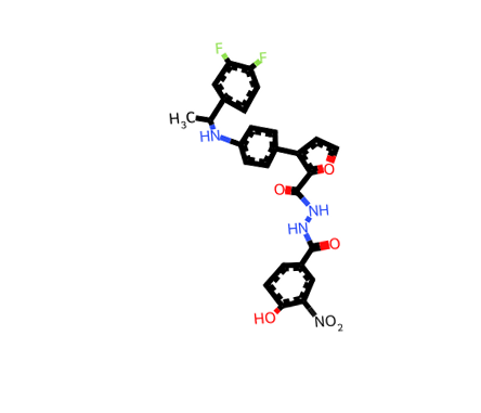 CC(Nc1ccc(-c2ccoc2C(=O)NNC(=O)c2ccc(O)c([N+](=O)[O-])c2)cc1)c1ccc(F)c(F)c1